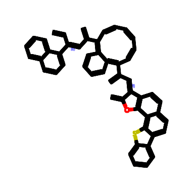 C=C/C(=C\C(=C)c1ccccccc(C(=C)/C=c2\c(=C)oc3c2ccc2ccc4c5ccccc5sc4c23)c2ccccc12)c1cccc2ccccc12